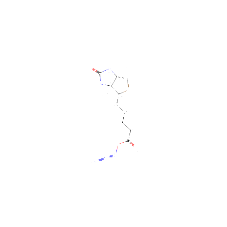 [N-]=[N+]=NOC(=O)CCCC[C@@H]1SC[C@@H]2NC(=O)N[C@@H]21